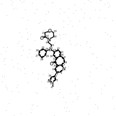 Cn1cc(-c2cnc3ccc4ccc(N(CCN5CCOCC5=O)c5ccccc5)cc4c(=O)c3c2)cn1